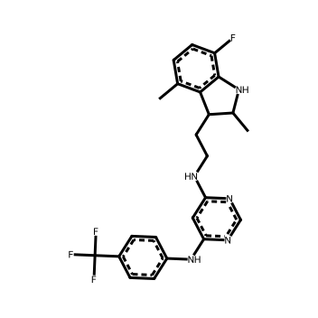 Cc1ccc(F)c2c1C(CCNc1cc(Nc3ccc(C(F)(F)F)cc3)ncn1)C(C)N2